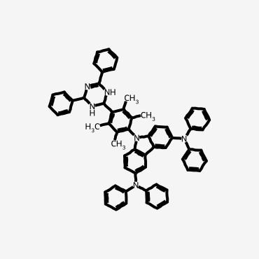 Cc1c(C)c(-n2c3ccc(N(c4ccccc4)c4ccccc4)cc3c3cc(N(c4ccccc4)c4ccccc4)ccc32)c(C)c(C)c1C1NC(c2ccccc2)=NC(c2ccccc2)N1